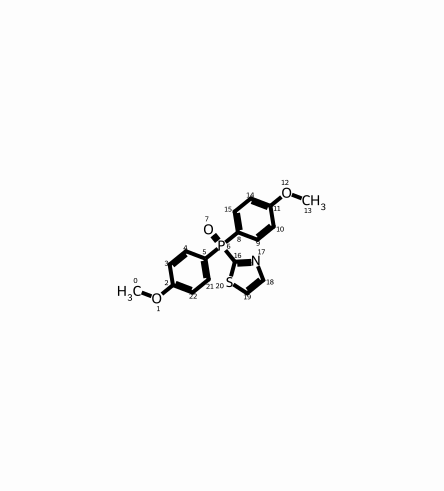 COc1ccc(P(=O)(c2ccc(OC)cc2)c2nccs2)cc1